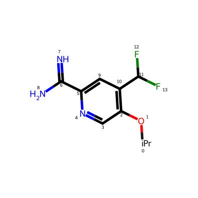 CC(C)Oc1cnc(C(=N)N)cc1C(F)F